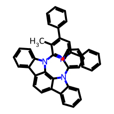 Cc1c(-c2ccccc2)cc(-c2ccccc2)nc1-n1c2ccccc2c2ccc3c4ccccc4n(-c4ccccc4)c3c21